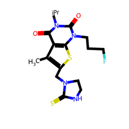 Cc1c(CN2CCNC2=S)sc2c1c(=O)n(C(C)C)c(=O)n2CCCF